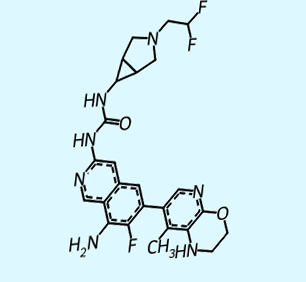 Cc1c(-c2cc3cc(NC(=O)NC4C5CN(CC(F)F)CC54)ncc3c(N)c2F)cnc2c1NCCO2